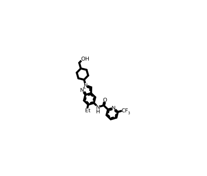 CCc1cc2nn(C3CCC(CO)CC3)cc2cc1NC(=O)c1cccc(C(F)(F)F)n1